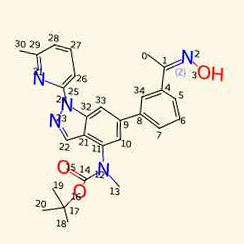 C/C(=N/O)c1cccc(-c2cc(N(C)C(=O)OC(C)(C)C)c3cnn(-c4cccc(C)n4)c3c2)c1